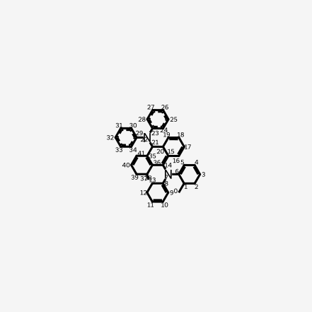 CC1CC=CC=C1N(C1=CC=CCC1)C1=C2C=CC=CC2C(N(c2ccccc2)c2ccccc2)C2=C1C(C)CC=C2